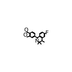 CC1c2cc(F)ccc2C(c2ccc3c(c2)COC3=O)=NC1(C)C